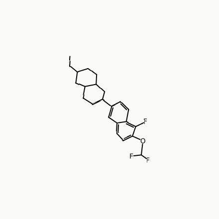 CCC1CCC2CC(c3ccc4c(F)c(OC(F)F)ccc4c3)CCC2C1